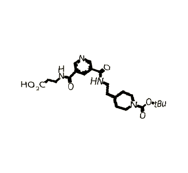 CC(C)(C)OC(=O)N1CCC(CCNC(=O)c2cncc(C(=O)NCCC(=O)O)c2)CC1